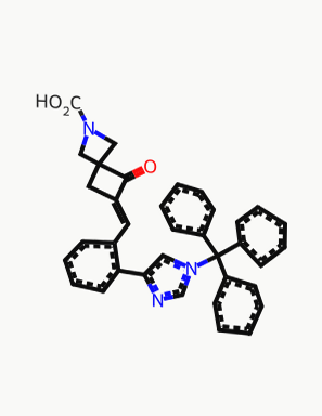 O=C(O)N1CC2(CC(=Cc3ccccc3-c3cn(C(c4ccccc4)(c4ccccc4)c4ccccc4)cn3)C2=O)C1